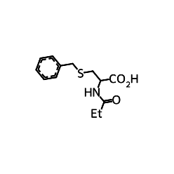 CCC(=O)NC(CSCc1ccccc1)C(=O)O